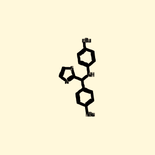 CCCCc1ccc(NC(c2ccc(CCCC)cc2)c2nccs2)cc1